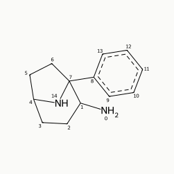 NC1CCC2CCC1(c1ccccc1)N2